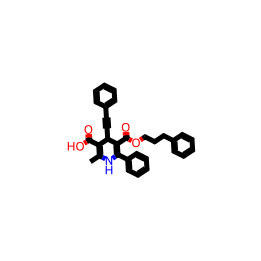 CC1=C(C(=O)O)C(C#Cc2ccccc2)C(C(=O)OCCCc2ccccc2)=C(c2ccccc2)N1